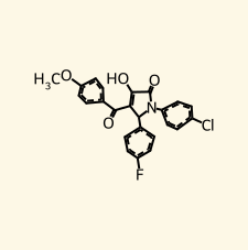 COc1ccc(C(=O)C2=C(O)C(=O)N(c3ccc(Cl)cc3)C2c2ccc(F)cc2)cc1